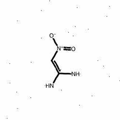 [NH]C([NH])=C[N+](=O)[O-]